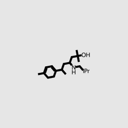 CC1=CC=C(C(C)CC(CC(C)(C)O)NCC(C)C)CC1